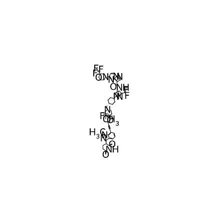 Cn1nc(C2CCC(=O)NC2=O)c2cccc(C#CCO[C@@H]3CCN(C[C@H]4CC[C@H](n5cc(NC(=O)c6cnn7ccc(N8CCOC(C(F)(F)F)C8)nc67)c(C(F)F)n5)CC4)C[C@@]3(C)F)c21